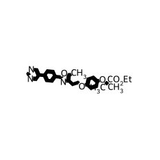 CCOC(=O)C(C)(C)Oc1ccc(OCCc2nc(-c3ccc(-c4cncnc4)cc3)oc2C)cc1